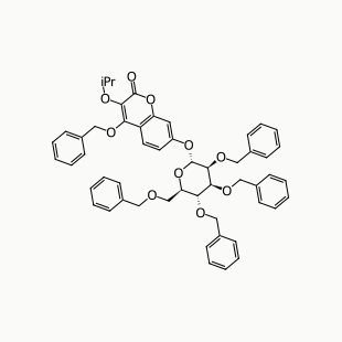 CC(C)Oc1c(OCc2ccccc2)c2ccc(O[C@H]3O[C@H](COCc4ccccc4)[C@@H](OCc4ccccc4)[C@H](OCc4ccccc4)[C@@H]3OCc3ccccc3)cc2oc1=O